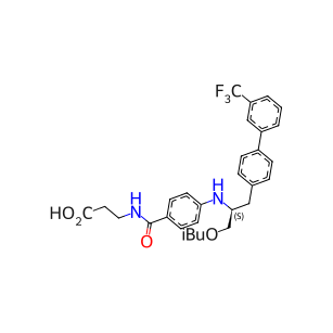 CC(C)COC[C@H](Cc1ccc(-c2cccc(C(F)(F)F)c2)cc1)Nc1ccc(C(=O)NCCC(=O)O)cc1